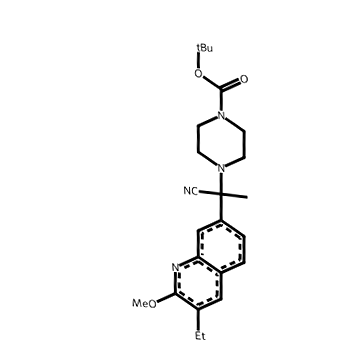 CCc1cc2ccc(C(C)(C#N)N3CCN(C(=O)OC(C)(C)C)CC3)cc2nc1OC